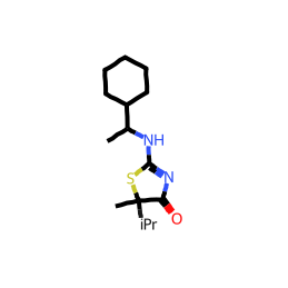 CC(NC1=NC(=O)C(C)(C(C)C)S1)C1CCCCC1